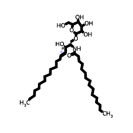 CCCCCCCCCCCCC/C=C/[C@@H](O)[C@H](COC1OC(CO)C(O)C(O)C1O)NC(=O)CCCCCCCCCCCCCCC